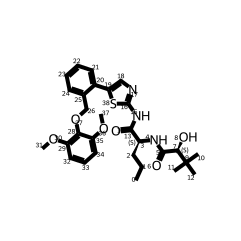 CCC[C@H](NC(=O)[C@@H](O)C(C)(C)C)C(=O)Nc1ncc(-c2ccccc2COc2c(OC)cccc2OC)s1